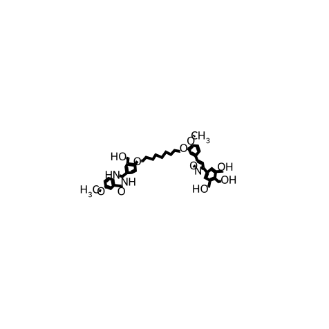 COc1ccc2c(c1)C(=O)NC(c1ccc(OCCCCCCCCCOc3cc(-c4cc(-c5cc(CO)c(CO)c(CO)c5)no4)ccc3OC)c(CO)c1)N2